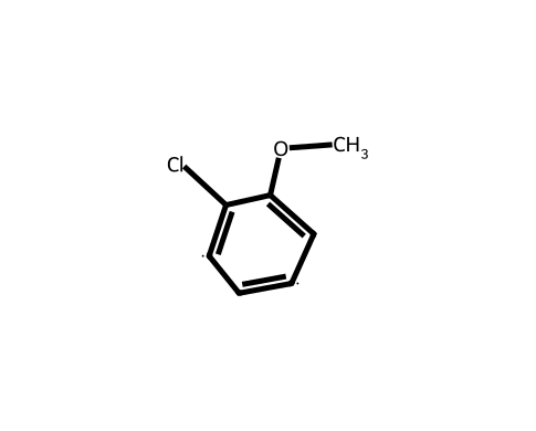 COc1c[c]c[c]c1Cl